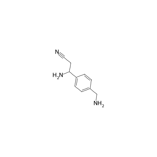 N#CCC(N)c1ccc(CN)cc1